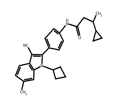 Cc1ccc2c(C#N)c(-c3ccc(NC(=O)CC(C)C4CC4)cc3)n(C3CCC3)c2c1